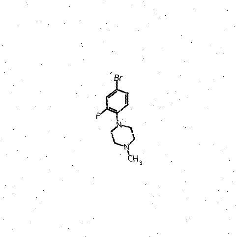 CN1CCN(c2ccc(Br)cc2F)CC1